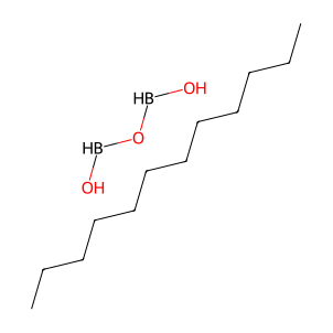 CCCCCCCCCCCC.OBOBO